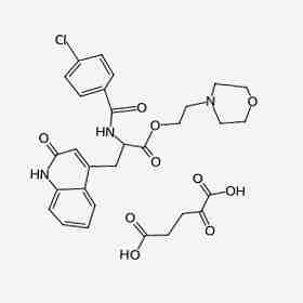 O=C(NC(Cc1cc(=O)[nH]c2ccccc12)C(=O)OCCN1CCOCC1)c1ccc(Cl)cc1.O=C(O)CCC(=O)C(=O)O